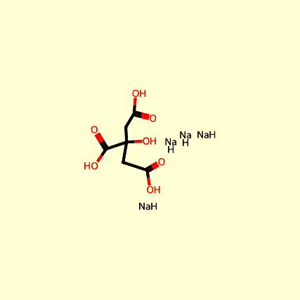 O=C(O)CC(O)(CC(=O)O)C(=O)O.[NaH].[NaH].[NaH].[NaH]